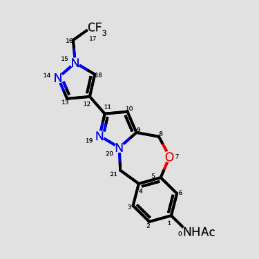 CC(=O)Nc1ccc2c(c1)OCc1cc(-c3cnn(CC(F)(F)F)c3)nn1C2